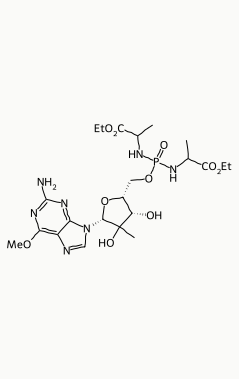 CCOC(=O)C(C)NP(=O)(NC(C)C(=O)OCC)OC[C@H]1O[C@@H](n2cnc3c(OC)nc(N)nc32)C(C)(O)[C@H]1O